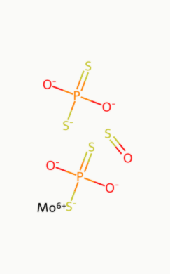 O=S.[Mo+6].[O-]P([O-])(=S)[S-].[O-]P([O-])(=S)[S-]